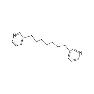 c1cncc(CCCCCCCc2cccnc2)c1